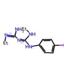 CC/N=C(N)\N=C(/NCC)Nc1ccc(I)cc1